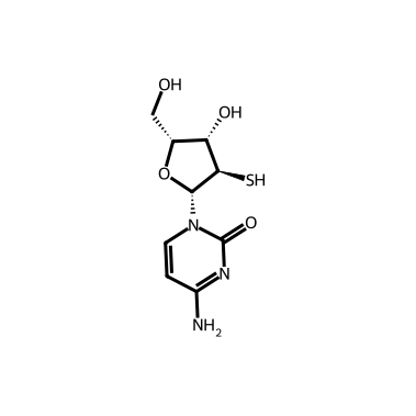 Nc1ccn([C@@H]2O[C@H](CO)[C@H](O)[C@H]2S)c(=O)n1